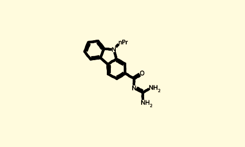 CCCn1c2ccccc2c2ccc(C(=O)N=C(N)N)cc21